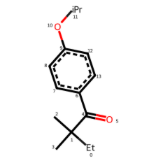 CCC(C)(C)C(=O)c1ccc(OC(C)C)cc1